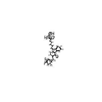 O=C(CCCCCn1c2c(c3ccccc31)C(=O)C(CN1CCC(F)(F)C1)CC2)NO